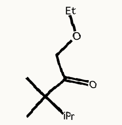 CCOCC(=O)C(C)(C)C(C)C